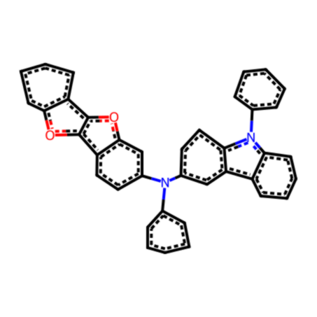 c1ccc(N(c2ccc3c(c2)oc2c4ccccc4oc32)c2ccc3c(c2)c2ccccc2n3-c2ccccc2)cc1